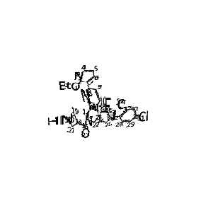 CCOc1ncccc1-c1ccc2c(n1)CN(C(=O)C1CNC1)CC21CCN(c2ccc(Cl)cc2C(F)(F)F)CC1